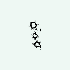 Cn1cc(-c2csc(Nc3ccccn3)n2)cn1